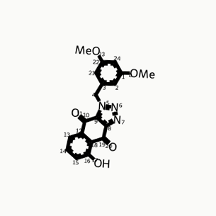 COc1cc(Cn2nnc3c2C(=O)c2cccc(O)c2C3=O)cc(OC)c1